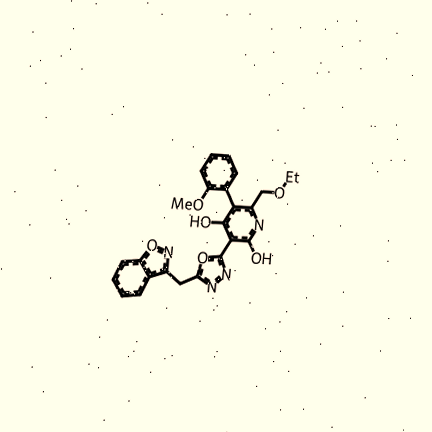 CCOCc1nc(O)c(-c2nnc(Cc3noc4ccccc34)o2)c(O)c1-c1ccccc1OC